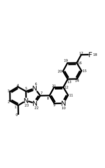 Cc1cccc2nc(-c3cncc(-c4ccc(CF)cc4)c3)nn12